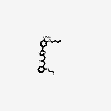 C=CCCOc1cc(-c2nc(CC(=O)Cc3ccccc3OCCF)co2)ccc1OC